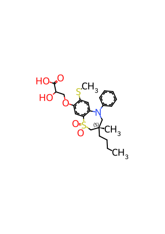 CCCC[C@@]1(C)CN(c2ccccc2)c2cc(SC)c(OCC(O)C(=O)O)cc2S(=O)(=O)C1